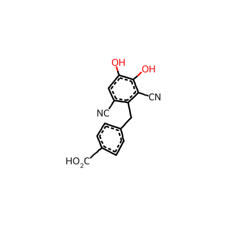 N#Cc1cc(O)c(O)c(C#N)c1Cc1ccc(C(=O)O)cc1